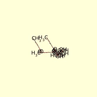 CCCCC/C=C/C/C=C/CCCCCCCC(=O)OCC(CO[C@@H]1OC(CO[C@H]2OC(CO)[C@H](O)[C@@H](O)C2O)[C@H](O)[C@@H](O)C1O)OC(=O)CCCCCCC/C=C/C/C=C/CC(CCC)OC(=O)CCCCCCC/C=C/C/C=C/CCCCC